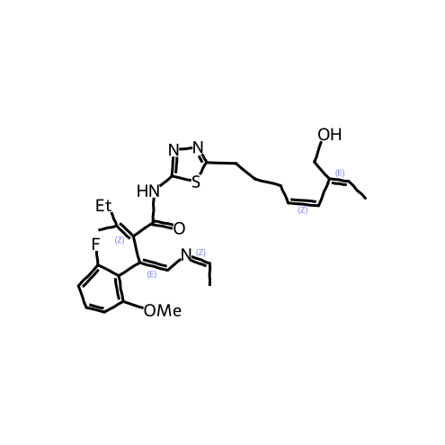 C\C=N/C=C(\C(C(=O)Nc1nnc(CCC/C=C\C(=C/C)CO)s1)=C(/C)CC)c1c(F)cccc1OC